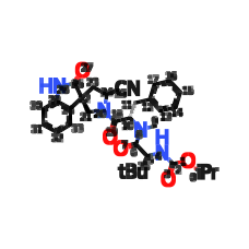 CC(C)OC(=O)N[C@H](C(=O)N(C)[C@@H](Cc1ccccc1)C(=O)N1C[C@]2(C[C@H]1C#N)C(=O)Nc1ccccc12)C(C)(C)C